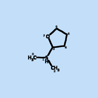 C[SH](C)C1CCCO1